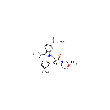 COC(=O)c1ccc2c(C3CCCCC3)c3n(c2c1)CC1(C(=O)N2CCO[C@@H](C)C2)CC1c1cc(OC)ccc1-3